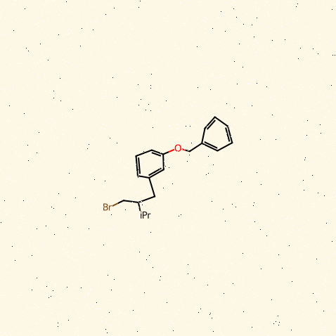 CC(C)C(CBr)Cc1cccc(OCc2ccccc2)c1